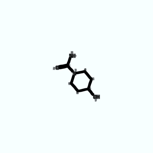 [NH]C(=O)N1CCC(O)CC1